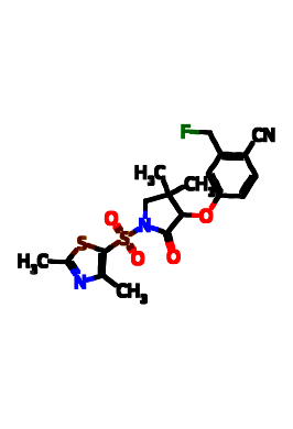 Cc1nc(C)c(S(=O)(=O)N2CC(C)(C)C(Oc3ccc(C#N)c(CF)c3)C2=O)s1